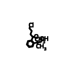 CC(C)(CO)c1ccccc1C(=O)CCCCl